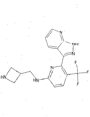 FC(F)(F)c1ccc(NCC2CNC2)nc1-c1n[nH]c2ncccc12